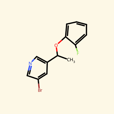 CC(Oc1ccccc1F)c1cncc(Br)c1